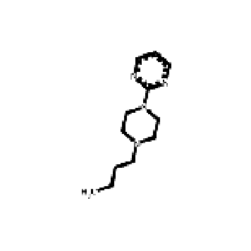 CC[CH]CN1CCN(c2ncccn2)CC1